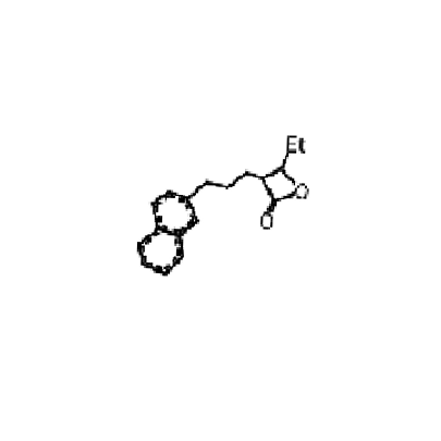 CCC1OC(=O)C1CCCc1ccc2ccccc2c1